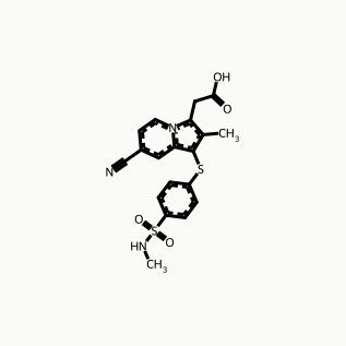 CNS(=O)(=O)c1ccc(Sc2c(C)c(CC(=O)O)n3ccc(C#N)cc23)cc1